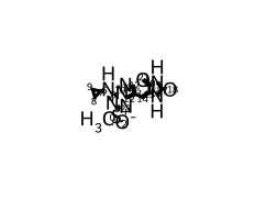 C[S+]([O-])c1nc(NC2CC2)n2ncc(/C=C3/NC(=O)NC3=O)c2n1